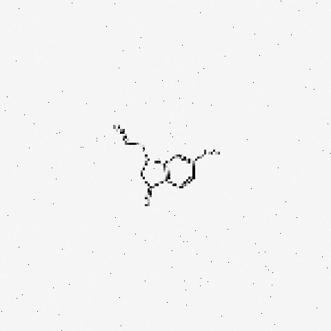 C=CCC1OC(=O)c2ccc(OC)cc21